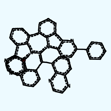 c1ccc(-c2cnc3c(n2)c2cccc4c5cccc6c7nccnc7n(c(=C(c7cccc8nccnc78)c7cccc8nccnc78)n3c42)c56)cc1